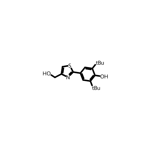 CC(C)(C)c1cc(-c2nc(CO)cs2)cc(C(C)(C)C)c1O